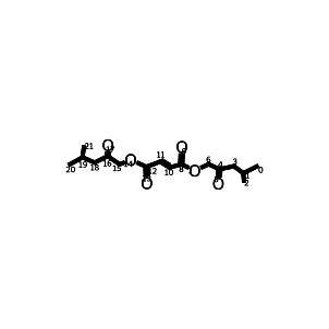 CC(C)CC(=O)COC(=O)/C=C/C(=O)OCC(=O)CC(C)C